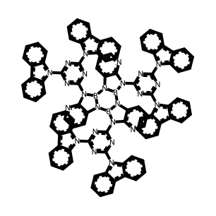 c1cnc2c(c1)N1B(N3B(N4B1N(c1nc(-n5c6ccccc6c6ccccc65)nc(-n5c6ccccc6c6ccccc65)n1)c1ncccc14)N(c1nc(-n4c5ccccc5c5ccccc54)nc(-n4c5ccccc5c5ccccc54)n1)c1ncccc13)N2c1nc(-n2c3ccccc3c3ccccc32)nc(-n2c3ccccc3c3ccccc32)n1